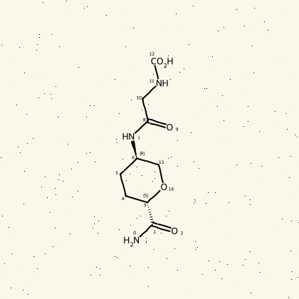 NC(=O)[C@@H]1CC[C@@H](NC(=O)CNC(=O)O)CO1